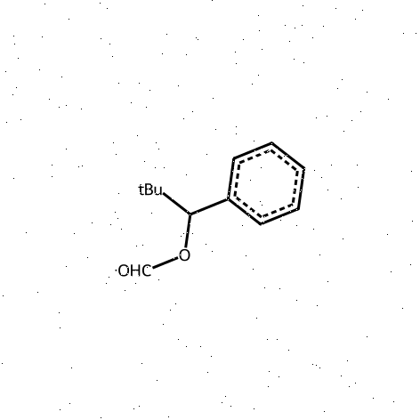 CC(C)(C)C(O[C]=O)c1ccccc1